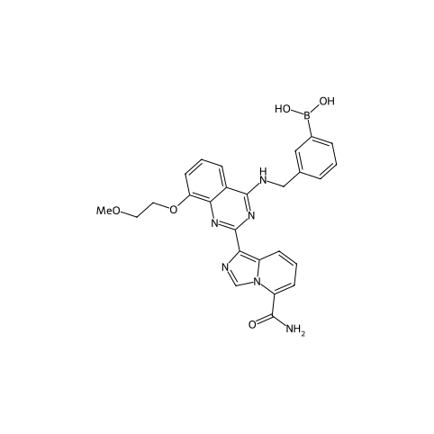 COCCOc1cccc2c(NCc3cccc(B(O)O)c3)nc(-c3ncn4c(C(N)=O)cccc34)nc12